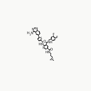 CN(C)CCCNC(=O)c1cnc(NCc2ccc(-c3ccc4ncnc(N)c4c3)s2)c(C(=O)NCc2ccc(F)c(F)c2)c1